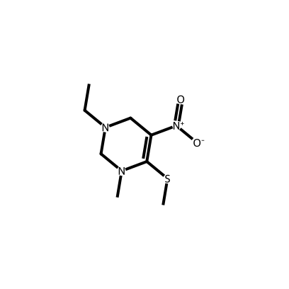 CCN1CC([N+](=O)[O-])=C(SC)N(C)C1